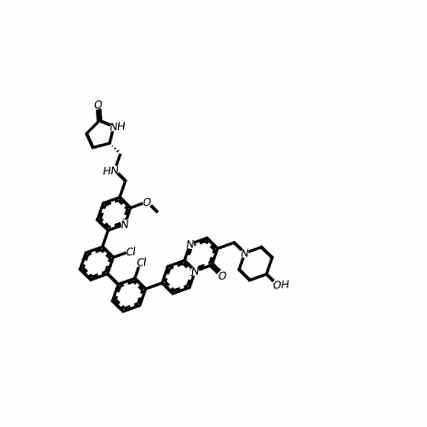 COc1nc(-c2cccc(-c3cccc(-c4ccn5c(=O)c(CN6CCC(O)CC6)cnc5c4)c3Cl)c2Cl)ccc1CNC[C@@H]1CCC(=O)N1